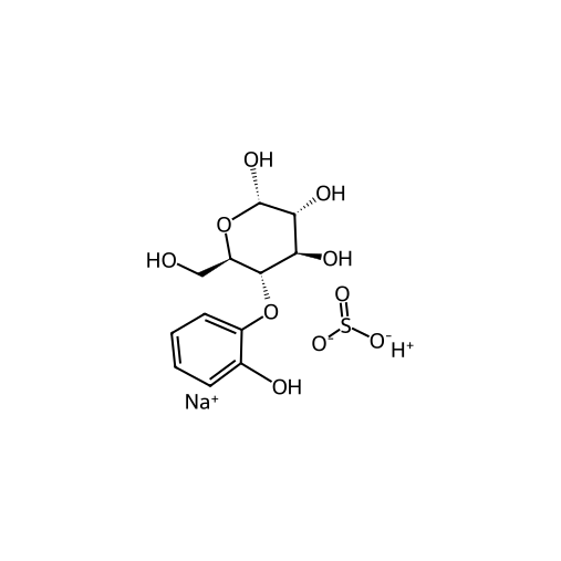 O=S([O-])[O-].OC[C@H]1O[C@H](O)[C@H](O)[C@@H](O)[C@@H]1Oc1ccccc1O.[H+].[Na+]